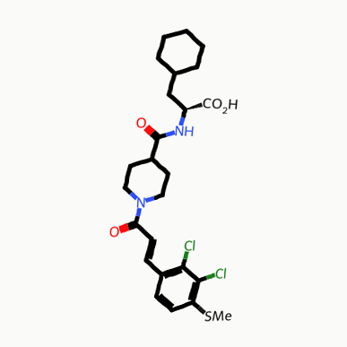 CSc1ccc(/C=C/C(=O)N2CCC(C(=O)N[C@@H](CC3CCCCC3)C(=O)O)CC2)c(Cl)c1Cl